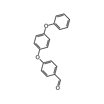 O=Cc1ccc(Oc2ccc(Oc3ccccc3)cc2)cc1